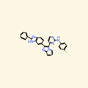 Fc1ccc(Nc2nccc(-c3c(-c4ccc5nc(-c6ccccc6)[nH]c5c4)nc4ccccn34)n2)cc1